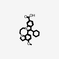 COc1ccc2c3c1CCN3CCCn1c-2c(C2CCCCC2)c2ccc(C(=O)O)cc21